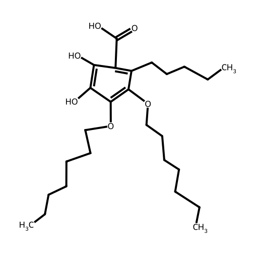 CCCCCCCOc1c(O)c(O)c(C(=O)O)c(CCCCC)c1OCCCCCCC